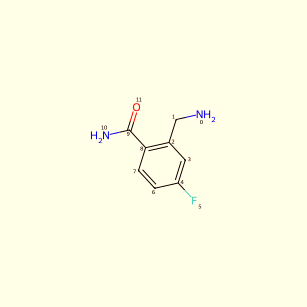 NCc1cc(F)ccc1C(N)=O